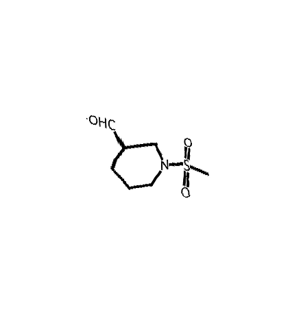 CS(=O)(=O)N1CCCC([C]=O)C1